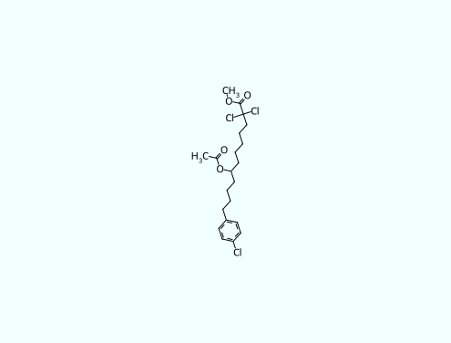 COC(=O)C(Cl)(Cl)CCCCCC(CCCCc1ccc(Cl)cc1)OC(C)=O